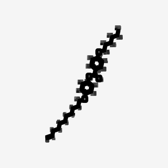 C=CCCCCCCCCCOc1ccc(OC(=O)c2ccc(OCCCCCC)cc2)cc1